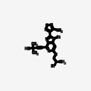 CCn1c(-c2nonc2N)nc2c(C#CC(C)(C)O)nc(OC[C@@H](N)C(C)C)cc21